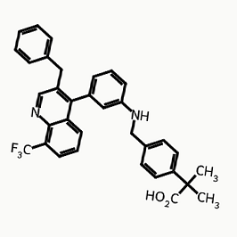 CC(C)(C(=O)O)c1ccc(CNc2cccc(-c3c(Cc4ccccc4)cnc4c(C(F)(F)F)cccc34)c2)cc1